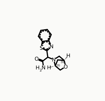 NC(=O)C(c1nc2ccccc2s1)N1C[C@@H]2C[C@H]1CO2